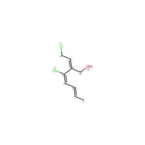 C/C=C/C=C(Cl)\C(=C/CCl)CO